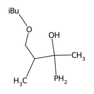 CCC(C)OCC(C)C(C)(O)P